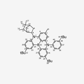 Cc1cc2c3c(c1)N(C1CC4CC1C(C)C4(C)C)c1ccc(C(C)(C)C)cc1B3c1ccc(C(C)(C)C)cc1N2c1cccc(C(C)(C)C)c1